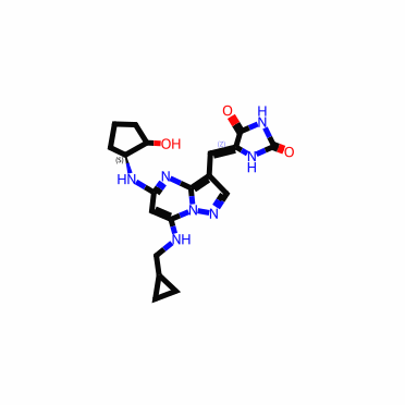 O=C1NC(=O)/C(=C/c2cnn3c(NCC4CC4)cc(N[C@H]4CCCC4O)nc23)N1